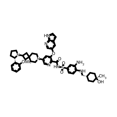 COc1ccccc1[C@@H]1CCCN1C1CC2(CCN(c3cnc(C(=O)NS(=O)(=O)c4ccc(NC[C@H]5CC[C@](C)(O)CC5)c(N)c4)c(Oc4cnc5[nH]ccc5c4)c3)CC2)C1